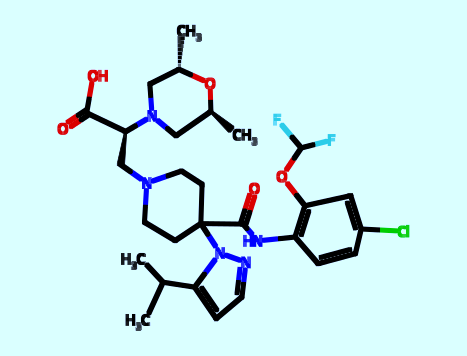 CC(C)c1ccnn1C1(C(=O)Nc2ccc(Cl)cc2OC(F)F)CCN(C[C@@H](C(=O)O)N2C[C@H](C)O[C@@H](C)C2)CC1